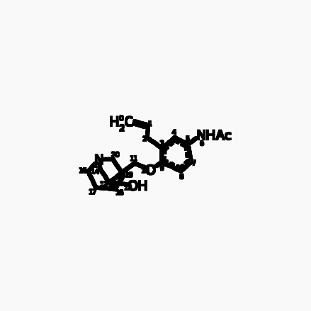 C=CCc1cc(NC(C)=O)ccc1OCC1(O)CN2CCC1CC2